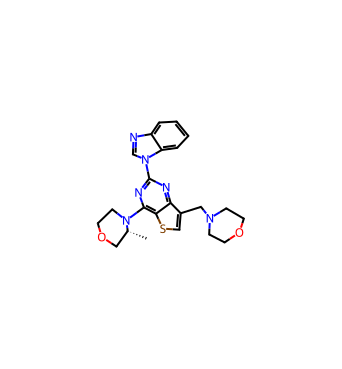 C[C@@H]1COCCN1c1nc(-n2cnc3ccccc32)nc2c(CN3CCOCC3)csc12